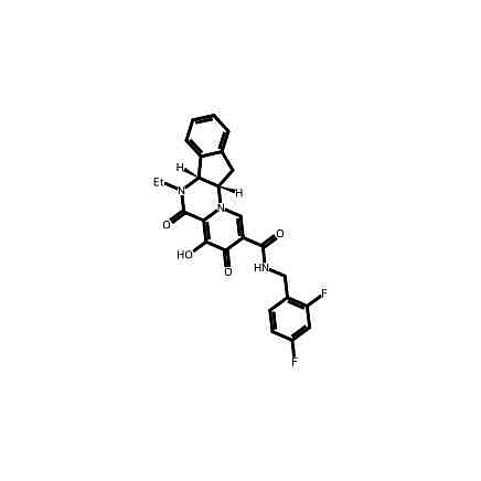 CCN1C(=O)c2c(O)c(=O)c(C(=O)NCc3ccc(F)cc3F)cn2[C@H]2Cc3ccccc3[C@H]21